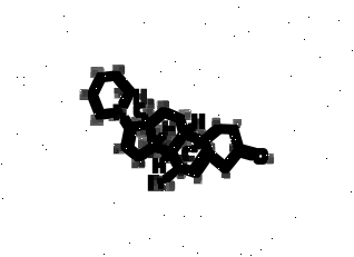 CC[C@@H]1C=C2CC(=O)CC[C@]2(C)[C@H]2CC[C@]3(C)C(N4CCCCC4)=CC[C@H]3[C@H]12